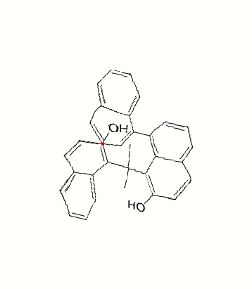 CC(C)(c1c(O)ccc2ccccc12)c1c(O)ccc2cccc(-c3cccc4ccccc34)c12